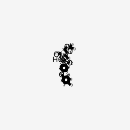 Cc1ccc(Oc2ccc(S(=O)(=O)CC([C@H]3COC(C)(C)O3)N(O)C=O)cc2)cc1